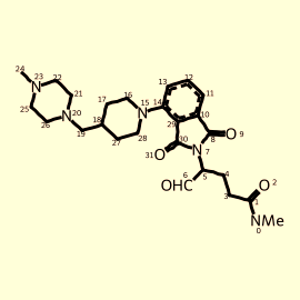 CNC(=O)CCC(C=O)N1C(=O)c2cccc(N3CCC(CN4CCN(C)CC4)CC3)c2C1=O